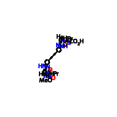 COC(=O)N[C@H](C(=O)N1[C@@H]2C[C@@H]2C[C@H]1c1nc2cc(C#CC#Cc3ccc4[nH]c([C@@H]5C[C@H]6C[C@H]6N5C(=O)[C@H](C(C)C)N(C)C(=O)O)nc4c3)ccc2[nH]1)C(C)C